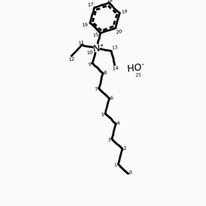 CCCCCCCCCC[N+](CC)(CC)c1ccccc1.[OH-]